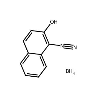 N#[N+]c1c(O)ccc2ccccc12.[BH4-]